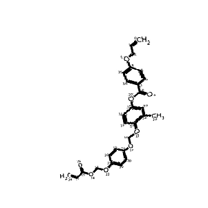 C=CCOc1ccc(C(=O)Oc2ccc(OCOc3ccc(OCOC(=O)C=C)cc3)c(C)c2)cc1